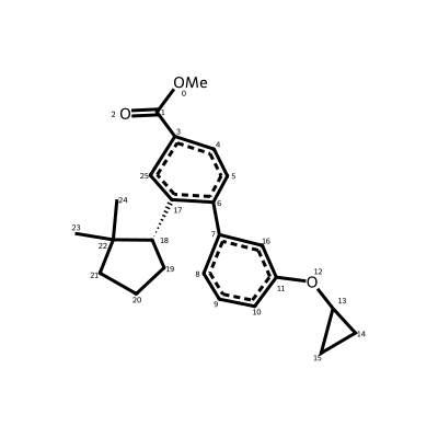 COC(=O)c1ccc(-c2cccc(OC3CC3)c2)c([C@@H]2CCCC2(C)C)c1